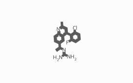 C=C(N=C(N)N)c1ccc2nc(C)cc(-c3c(F)cccc3Cl)c2c1